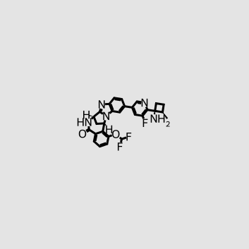 C[C@@H]1CC[C@@]1(N)c1ncc(-c2ccc3nc4n(c3c2)[C@@H]2C[C@H]4NC(=O)c3cccc(OC(F)F)c32)cc1F